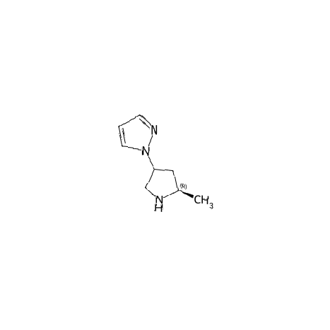 C[C@@H]1CC(n2cccn2)CN1